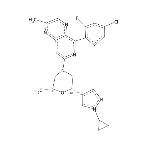 Cc1cnc2c(-c3ccc(Cl)cc3F)nc(N3C[C@@H](C)O[C@@H](c4cnn(C5CC5)c4)C3)cc2n1